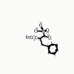 CCOC(=O)C(Cc1ccccc1)C(Cl)S(=O)(=O)Cl